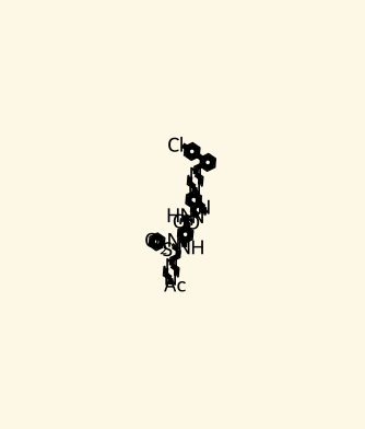 CC(=O)N1CCN(CCC(CSc2ccccc2)Nc2ccc(S(=O)(=O)Nc3ncnc4cc(N5CCN(Cc6ccccc6-c6ccc(Cl)cc6)CC5)ccc34)cc2[N+](=O)[O-])CC1